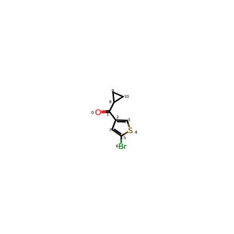 O=C(c1csc(Br)c1)C1CC1